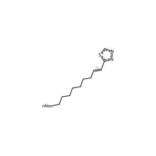 CCCCCCCCCCCCCCCC/C=C/c1nncs1